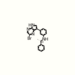 C[C@H](Nc1cccc(-c2c[nH]c3ncc(Br)nc23)c1)c1ccccc1